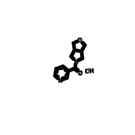 Cl.O=C(c1cccnc1)N1CC2COCC2C1